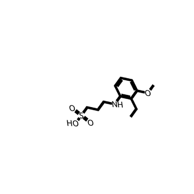 CCc1c(NCCCS(=O)(=O)O)cccc1OC